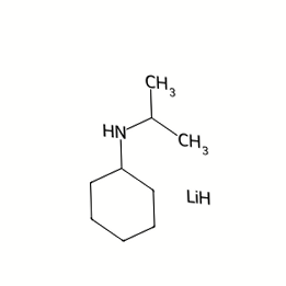 CC(C)NC1CCCCC1.[LiH]